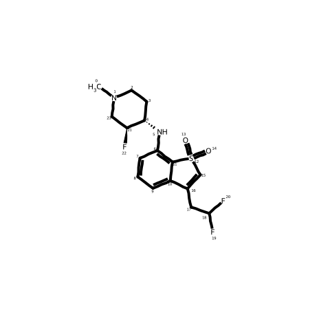 CN1CC[C@H](Nc2cccc3c2S(=O)(=O)C=C3CC(F)F)[C@@H](F)C1